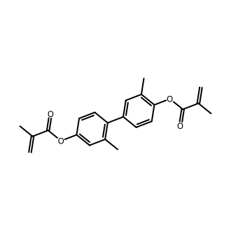 C=C(C)C(=O)Oc1ccc(-c2ccc(OC(=O)C(=C)C)c(C)c2)c(C)c1